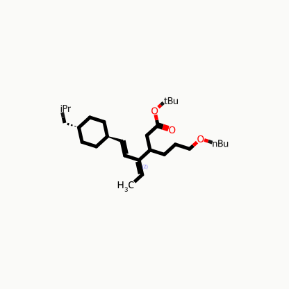 C/C=C(\C=C[C@H]1CC[C@H](CC(C)C)CC1)C(CCCOCCCC)CC(=O)OC(C)(C)C